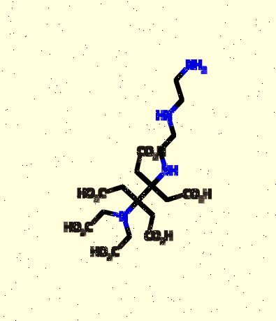 NCCNCCNC(CC(=O)O)(CC(=O)O)C(CC(=O)O)(CC(=O)O)N(CC(=O)O)CC(=O)O